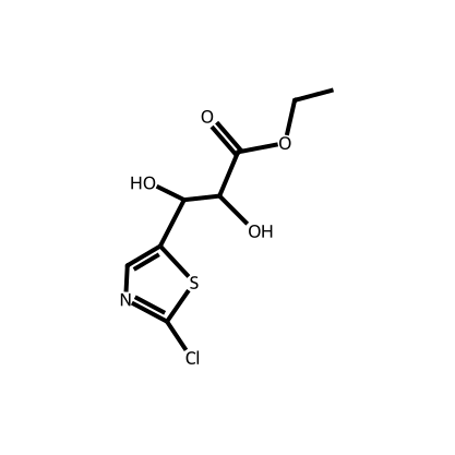 CCOC(=O)C(O)C(O)c1cnc(Cl)s1